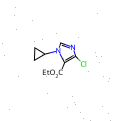 CCOC(=O)c1c(Cl)ncn1C1CC1